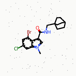 Cn1cc(C(=O)NCC23CCC(CC2)CC3)c2c(Br)cc(Cl)cc21